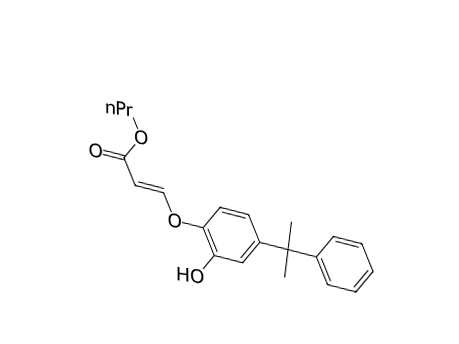 CCCOC(=O)C=COc1ccc(C(C)(C)c2ccccc2)cc1O